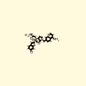 COC(=O)CN([C@H]1CCN(Cc2ccc3c(N)ccnc3c2)C1=O)S(=O)(=O)c1cc2ccc(Cl)cc2s1